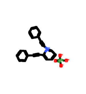 C(#Cc1cccc[n+]1C#Cc1ccccc1)c1ccccc1.[O-][Cl+3]([O-])([O-])[O-]